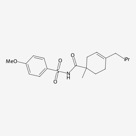 COc1ccc(S(=O)(=O)NC(=O)C2(C)CC=C(CC(C)C)CC2)cc1